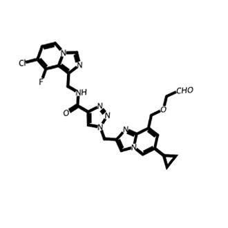 O=CCOCc1cc(C2CC2)cn2cc(Cn3cc(C(=O)NCc4ncn5ccc(Cl)c(F)c45)nn3)nc12